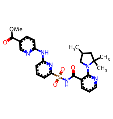 COC(=O)c1ccc(Nc2cccc(S(=O)(=O)NC(=O)c3cccnc3N3CC(C)CC3(C)C)n2)nc1